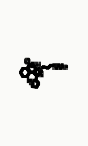 CNCCCn1nc(C2CCCN2I)c2c3c(c(=O)[nH]c21)CCCC3